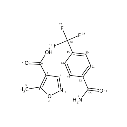 Cc1oncc1C(=O)O.NC(=O)c1ccc(C(F)(F)F)cc1